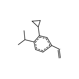 C=[C]c1ccc(C(C)C)c(C2CC2)c1